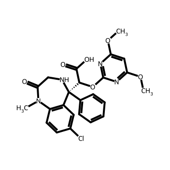 COc1cc(OC)nc(OC(C(=O)O)[C@@]2(c3ccccc3)NCC(=O)N(C)c3ccc(Cl)cc32)n1